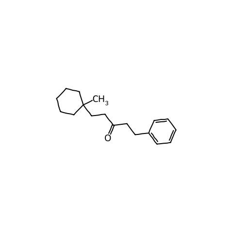 CC1(CCC(=O)CCc2ccccc2)CCCCC1